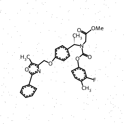 COC(=O)CN(C(=O)Oc1ccc(C)c(F)c1)[C@@H](C)c1ccc(OCc2nc(-c3ccccc3)oc2C)cc1